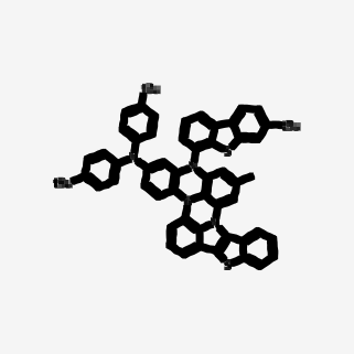 Cc1cc2c3c(c1)-n1c4c(cccc4c4sc5ccccc5c41)B3c1ccc(N(c3ccc(C(C)(C)C)cc3)c3ccc(C(C)(C)C)cc3)cc1N2c1cccc2c1sc1cc(C(C)(C)C)ccc12